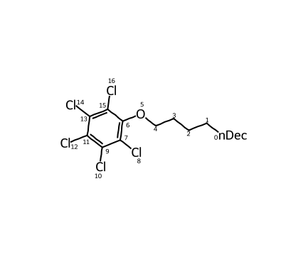 CCCCCCCCCCCCCCOc1c(Cl)c(Cl)c(Cl)c(Cl)c1Cl